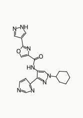 O=C(Nc1cn(C2CCCCC2)nc1-c1ccncn1)c1coc(-c2cn[nH]c2)n1